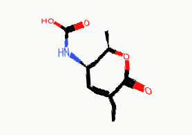 CC1=C[C@@H](NC(=O)O)[C@@H](C)OC1=O